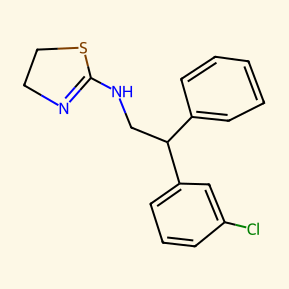 Clc1cccc(C(CNC2=NCCS2)c2ccccc2)c1